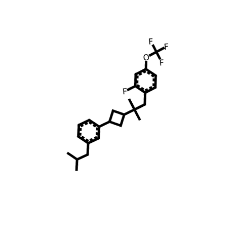 CC(C)Cc1cccc(C2CC(C(C)(C)Cc3ccc(OC(F)(F)F)cc3F)C2)c1